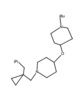 CCC(C)N1CCC(OC2CCN(CC3(CC(C)C)CC3)CC2)CC1